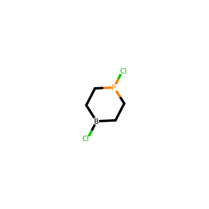 ClB1CCP(Cl)CC1